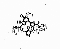 CCNC(=O)c1cc2c(-c3sc(C(F)C(C)(C)O)c(C)c3Oc3c(C)cncc3C)cn(C)c(=O)c2[nH]1